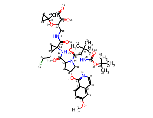 COc1ccc2c(O[C@@H]3C[C@@H](C(=O)N[C@]4(C(=O)NC[C@@H](OC5(C)CC5)C(=O)C=O)C[C@H]4CCF)N(C(=O)[C@@H](NC(=O)OC(C)(C)C)C(C)(C)C)C3)nccc2c1